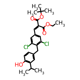 CCOC(=O)/C(=C\c1cc(Cl)c(Cc2ccc(O)c(C(C)C)c2)c(Cl)c1)C(=O)OC(C)(C)C